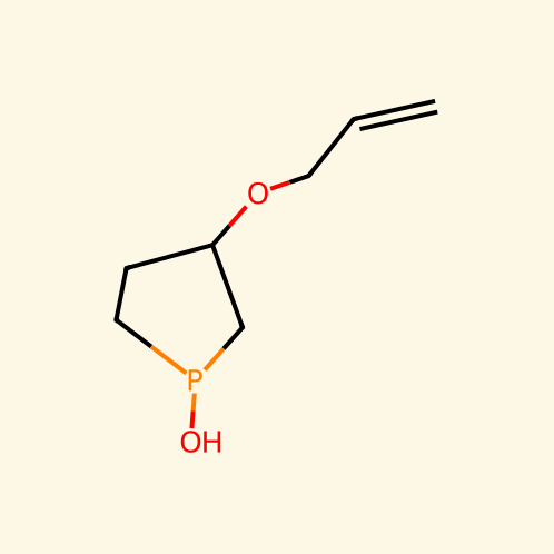 C=CCOC1CCP(O)C1